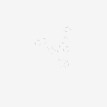 O=C(N[C@@H](CCCNCc1ncc[nH]1)C(=O)NCc1cccc2ccccc12)c1ccc(CNCc2ncc[nH]2)c2ccccc12